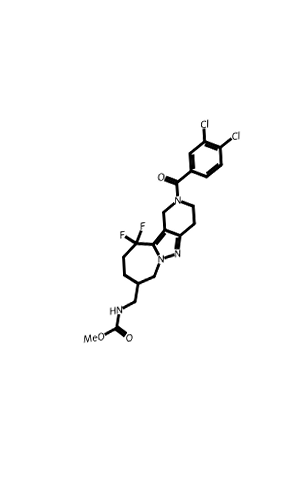 COC(=O)NCC1CCC(F)(F)c2c3c(nn2C1)CCN(C(=O)c1ccc(Cl)c(Cl)c1)C3